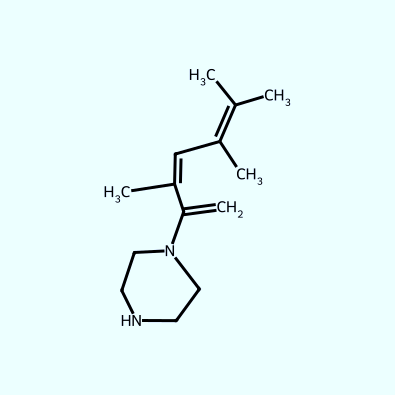 C=C(/C(C)=C\C(C)=C(C)C)N1CCNCC1